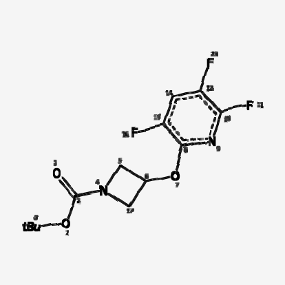 CC(C)(C)OC(=O)N1CC(Oc2nc(F)c(F)cc2F)C1